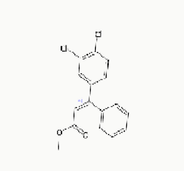 COC(=O)/C=C(\c1ccccc1)c1ccc(Cl)c(Cl)c1